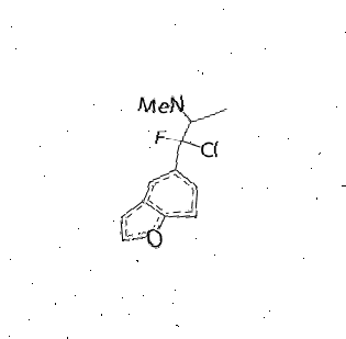 CNC(C)C(F)(Cl)c1ccc2occc2c1